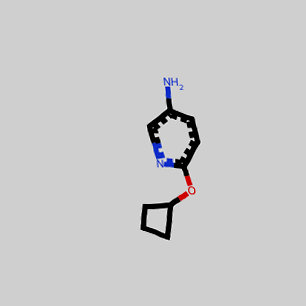 Nc1ccc(OC2CCC2)nc1